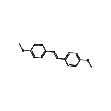 COc1ccc(/C=N/c2ccc(SC)cc2)cc1